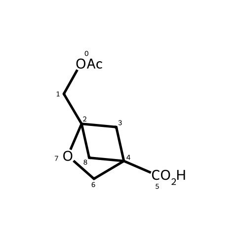 CC(=O)OCC12CC(C(=O)O)(CO1)C2